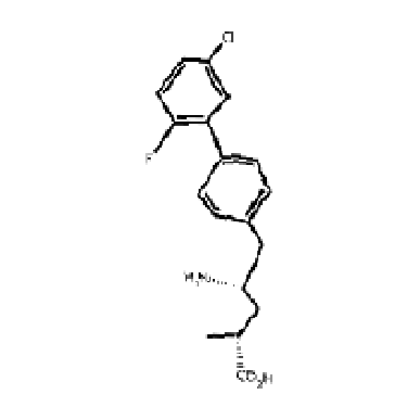 C[C@H](C[C@H](N)Cc1ccc(-c2cc(Cl)ccc2F)cc1)C(=O)O